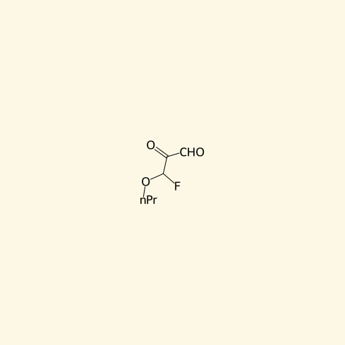 CCCOC(F)C(=O)C=O